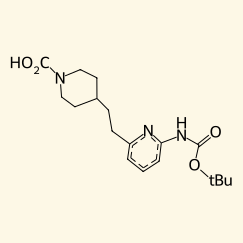 CC(C)(C)OC(=O)Nc1cccc(CCC2CCN(C(=O)O)CC2)n1